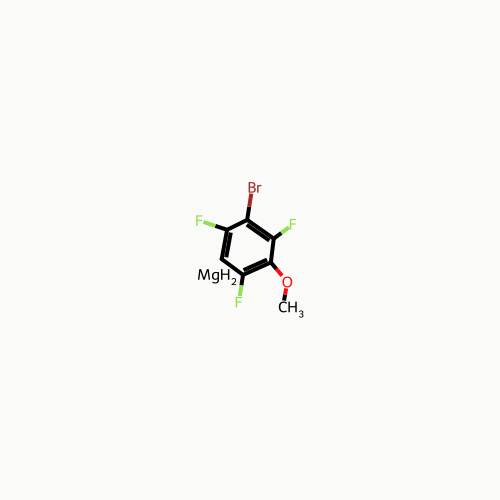 COc1c(F)cc(F)c(Br)c1F.[MgH2]